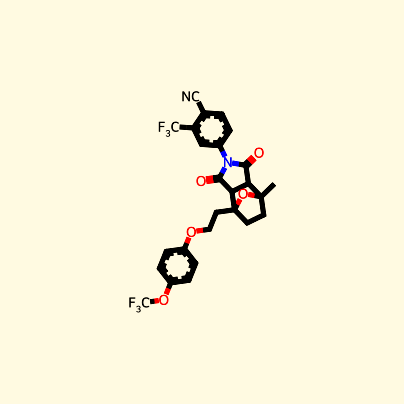 CC12CCC(CCOc3ccc(OC(F)(F)F)cc3)(O1)C1C(=O)N(c3ccc(C#N)c(C(F)(F)F)c3)C(=O)C12